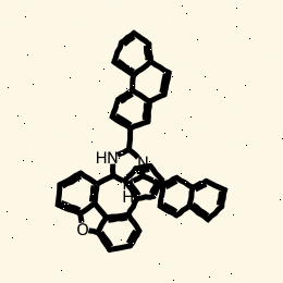 c1ccc(-c2cccc3oc4cccc(C5NC(c6ccc7ccccc7c6)=NC(c6ccc7c(ccc8ccccc87)c6)N5)c4c23)cc1